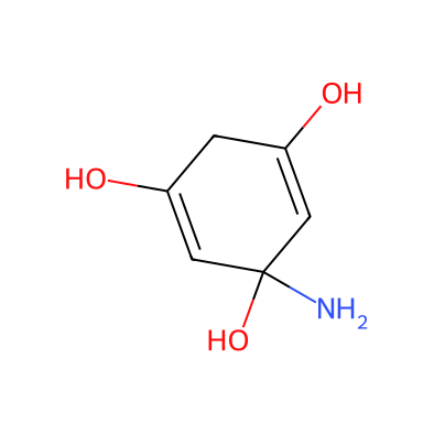 NC1(O)C=C(O)CC(O)=C1